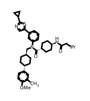 COc1ccc([C@H]2CC[C@H](CN(c3cccc(-c4cnc(C5CC5)s4)c3)C(=O)[C@H]3CC[C@H](NC(=O)CC(C)C)CC3)CC2)cc1C